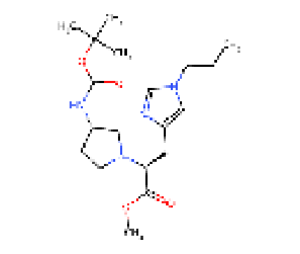 CCCn1cnc(C[C@@H](C(=O)OC)N2CC[C@H](NC(=O)OC(C)(C)C)C2)c1